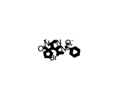 CN1C(=O)C2(CCCC2)c2c1cnc1c2c(Br)cn1[S+]([O-])c1ccccc1